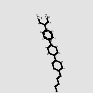 CCCCCC1CCC(C2CCC(c3ccc(C(CO)CO)cc3)CC2)CC1